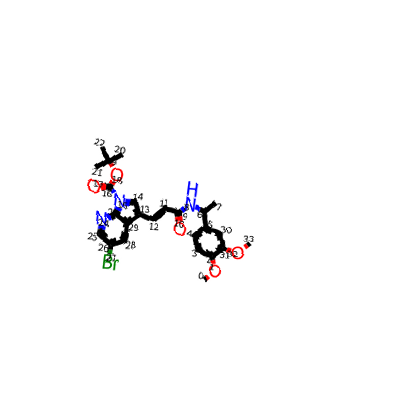 COc1ccc(C(C)NC(=O)C=Cc2cn(C(=O)OC(C)(C)C)c3ncc(Br)cc23)cc1OC